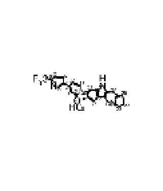 Cl.O=c1cc(-c2ccc(C(F)(F)F)nc2)ccn1-c1ccc2c3c([nH]c2c1)CC1CCCN1C3